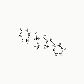 C=CN(Cc1ccccn1)CC(O)Cc1ccccc1